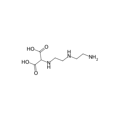 NCCNCCNC(C(=O)O)C(=O)O